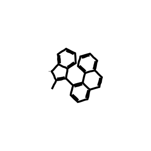 CC1=C(c2cccc3ccc4ccccc4c23)c2ccccc2[CH]1